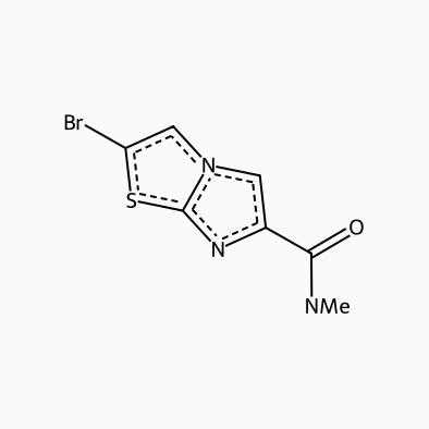 CNC(=O)c1cn2cc(Br)sc2n1